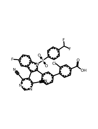 N#Cc1ncnc(C#N)c1-c1c(-c2cccc(-c3ccc(C(=O)O)cc3Cl)c2)n(S(=O)(=O)c2ccc(C(F)F)cc2)c2ccc(F)cc12